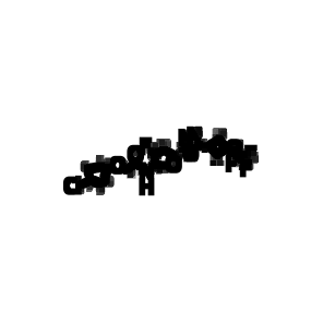 O=C(COc1ccc(Cl)cc1)N[C@@H]1CO[C@@H](c2nnc([C@H]3C[C@@H](OC(F)(F)F)C3)o2)C[C@@H]1F